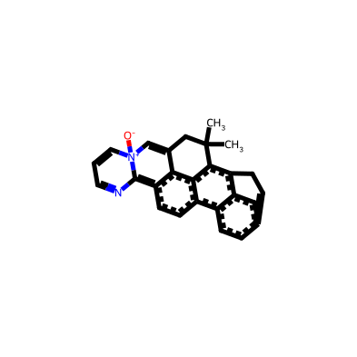 CC1(C)CC2=C[N+]3([O-])C=CC=NC3=c3ccc4c(c1c1c5cc(ccc54)=CC1)c32